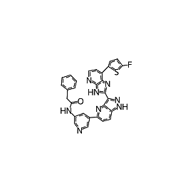 O=C(Cc1ccccc1)Nc1cncc(-c2ccc3[nH]nc(-c4nc5c(-c6ccc(F)s6)ccnc5[nH]4)c3n2)c1